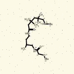 CC(CCNC(=O)CC(C)(C)CC(C)(C)CNC(C)(C)C)CNC(=O)COC(C)(C)C